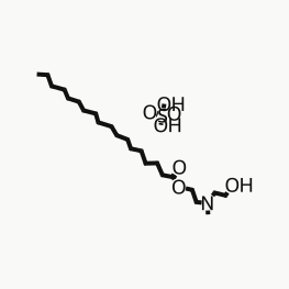 CCCCCCCCCCCCCCCCCC(=O)OCCN(C)CCO.O=S(=O)(O)O